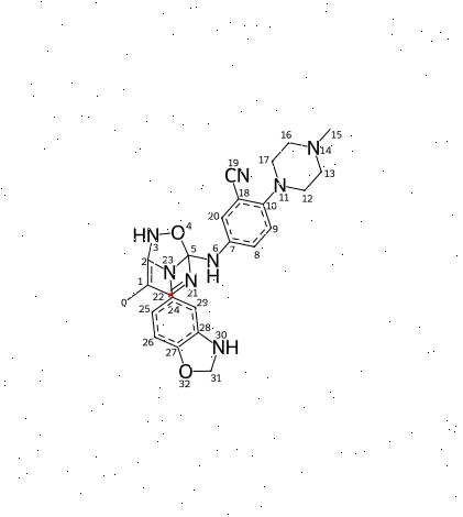 CC1=C2NOC(Nc3ccc(N4CCN(C)CC4)c(C#N)c3)(N=C1)N2c1ccc2c(c1)NCO2